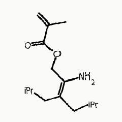 C=C(C)C(=O)OCC(N)=C(CC(C)C)CC(C)C